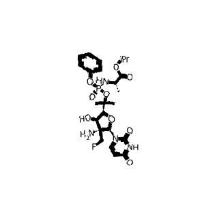 CC(C)OC(=O)[C@H](C)N[P@](=O)(Oc1ccccc1)OC(C)(C)[C@H]1O[C@@H](n2ccc(=O)[nH]c2=O)[C@@](N)(CF)C1O